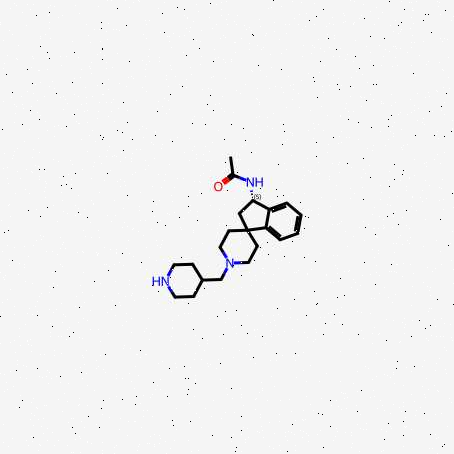 CC(=O)N[C@H]1CC2(CCN(CC3CCNCC3)CC2)c2ccccc21